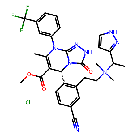 COC(=O)C1=C(C)N(c2cccc(C(F)(F)F)c2)c2n[nH]c(=O)n2[C@@H]1c1ccc(C#N)cc1CC[N+](C)(C)C(C)c1cc[nH]n1.[Cl-]